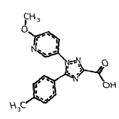 COc1ccc(-n2nc(C(=O)O)nc2-c2ccc(C)cc2)cn1